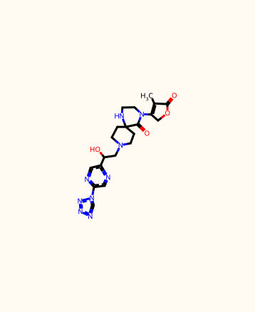 CC1=C(N2CCNC3(CCN(CC(O)c4cnc(-n5cnnn5)cn4)CC3)C2=O)COC1=O